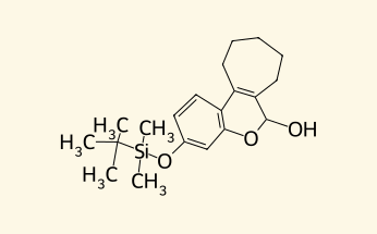 CC(C)(C)[Si](C)(C)Oc1ccc2c(c1)OC(O)C1=C2CCCCC1